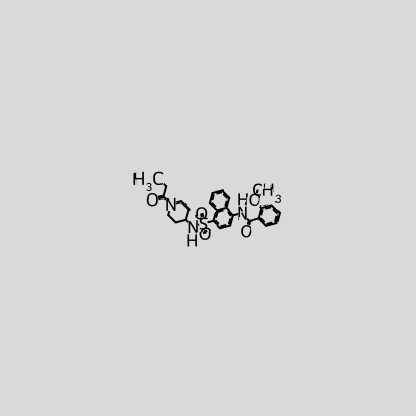 CCC(=O)N1CCC(NS(=O)(=O)c2ccc(NC(=O)c3ccccc3OC)c3ccccc23)CC1